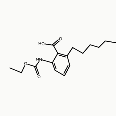 CCCCCCc1cccc(NC(=O)OCC)c1C(=O)O